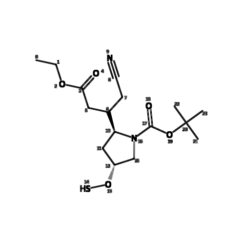 CCOC(=O)CC(CC#N)[C@@H]1C[C@@H](OS)CN1C(=O)OC(C)(C)C